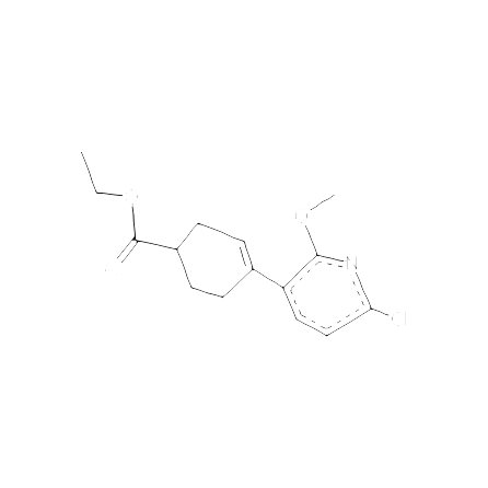 CCOC(=O)C1CC=C(c2ccc(Cl)nc2OC)CC1